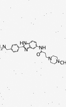 CN1CCN(CCC(=O)Nc2ccc3[nH]c(-c4ccc(CN)cc4)nc3c2)CC1